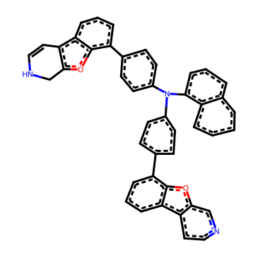 C1=Cc2c(oc3c(-c4ccc(N(c5ccc(-c6cccc7c6oc6cnccc67)cc5)c5cccc6ccccc56)cc4)cccc23)CN1